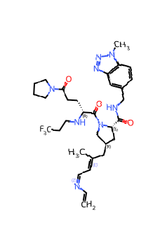 C=C/N=C\C=C(/C)C[C@@H]1C[C@@H](C(=O)NCc2ccc3c(c2)nnn3C)N(C(=O)[C@@H](CCC(=O)N2CCCC2)NCCC(F)(F)F)C1